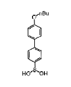 CCCCOc1ccc(-c2ccc(B(O)O)cc2)cc1